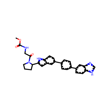 COC(=O)NCC(=O)N1CCCC1c1cc2cc(-c3ccc(-c4ccc5[nH]cnc5c4)cc3)ccc2[nH]1